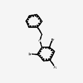 CC(=O)c1cc(Br)c(OCc2ccccc2)c(Br)c1